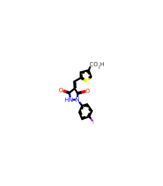 O=C1NN(c2ccc(I)cc2)C(=O)C1=Cc1cc(C(=O)O)cs1